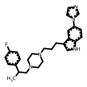 CC(CN1CCN(CCCc2c[nH]c3ccc(-n4ccnc4)cc23)CC1)c1ccc(F)cc1